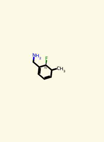 CC1C=CC=C(CN)[C@H]1F